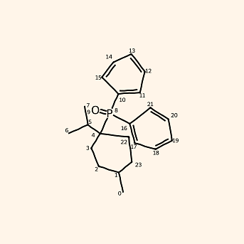 CC1CCC(C(C)C)(P(=O)(c2ccccc2)c2ccccc2)CC1